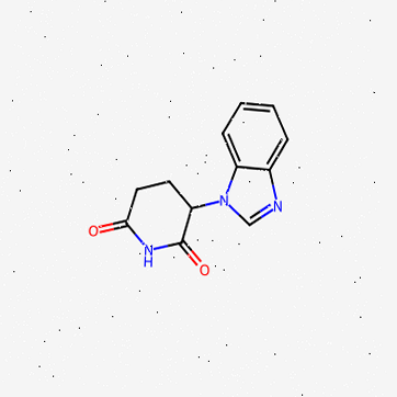 O=C1CCC(n2cnc3ccccc32)C(=O)N1